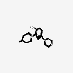 CC1CCN(c2cc(N3CCOCC3)ccc2N)CC1